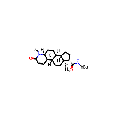 CCCCNC(=O)[C@H]1CC[C@H]2[C@@H]3CC[C@H]4N(C)C(=O)C=C[C@]4(C)[C@H]3CC[C@]12C